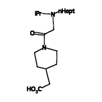 CCCCCCCN(CC(=O)N1CCC(CC(=O)O)CC1)C(C)C